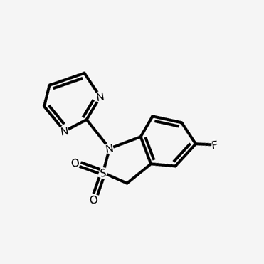 O=S1(=O)Cc2cc(F)ccc2N1c1ncccn1